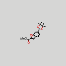 COC(=O)c1cc2ccc(B3OC(C)(C)C(C)(C)O3)cc2o1